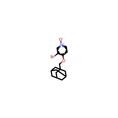 [O-][n+]1ccc(OCC23CC4CC(CC(C4)C2)C3)c(Br)c1